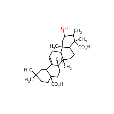 CC1C(O)CC2(C)C(CCC3(C)C2CC=C2C4CC(C)(C)CCC4(C(=O)O)CCC23C)C1(C)C(=O)O